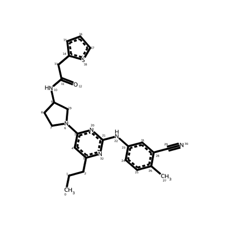 CCCc1cc(N2CCC(NC(=O)Cc3cccs3)C2)nc(Nc2ccc(C)c(C#N)c2)n1